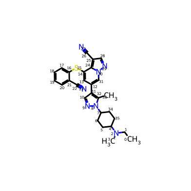 CCN(C)C1CCC(n2ncc(-c3cc(Sc4ccccc4C#N)c4c(C#N)cnn4c3)c2C)CC1